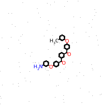 Cc1cccc(Oc2ccc(C(=O)c3cccc(C(=O)c4ccc(Oc5cccc(N)c5)cc4)c3)cc2)c1